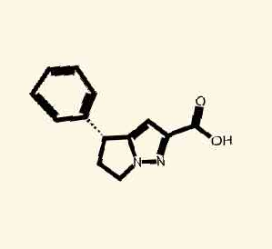 O=C(O)c1cc2n(n1)CC[C@@H]2c1ccccc1